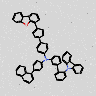 c1cc(-c2ccccc2-n2c3ccccc3c3ccccc32)cc(N(c2ccc(-c3ccc(-c4cccc5c4oc4ccccc45)cc3)cc2)c2ccc(-c3cccc4ccccc34)cc2)c1